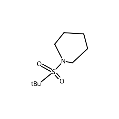 CC(C)(C)S(=O)(=O)N1CCCCC1